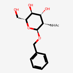 CC(=O)N[C@@H]1[C@@H](OCc2ccccc2)O[C@H](CO)[C@@H](O)[C@@H]1O